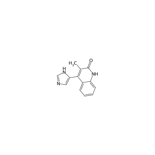 Cc1c(-c2cnc[nH]2)c2ccccc2[nH]c1=O